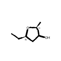 CC[C@@H]1CC(O)[C@H](C)O1